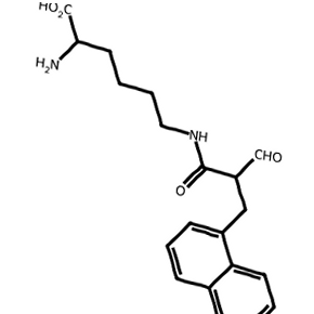 NC(CCCCNC(=O)C(C=O)Cc1cccc2ccccc12)C(=O)O